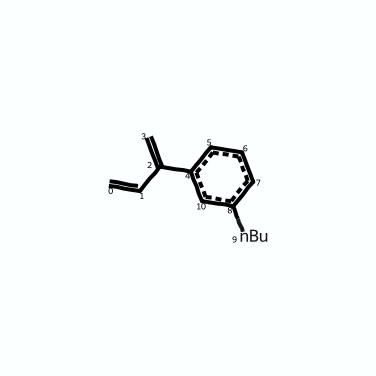 C=CC(=C)c1cccc(CCCC)c1